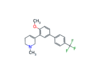 COc1ccc(-c2ccc(C(F)(F)F)cc2)cc1C1=CCCN(C)C1